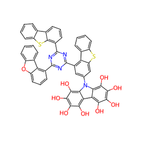 Oc1c(O)c(O)c2c(c1O)c1c(O)c(O)c(O)c(O)c1n2-c1cc(-c2nc(-c3cccc4c3sc3ccccc34)nc(-c3cccc4oc5ccccc5c34)n2)c2c(c1)sc1ccccc12